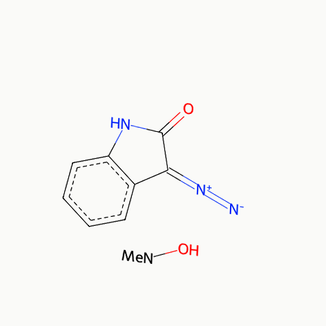 CNO.[N-]=[N+]=C1C(=O)Nc2ccccc21